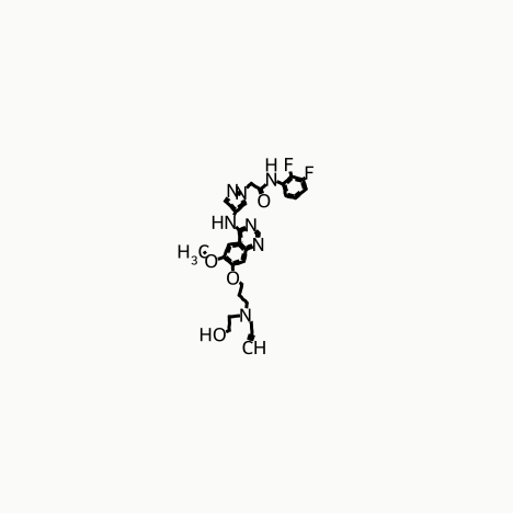 C#CCN(CCO)CCCOc1cc2ncnc(Nc3cnn(CC(=O)Nc4cccc(F)c4F)c3)c2cc1OC